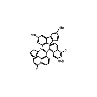 CC(C)(C)c1ccc2c(c1)-c1cc(C(C)(C)C)c[c]([Zr]([C]3=CC=CC3)=[C](c3cccc4c(Cl)cccc34)c3cccc4c(Cl)cccc34)c1C2.Cl.Cl